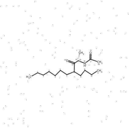 CCCCCCCC(CCCC)C(=O)[C@H](C)NC(C)=O